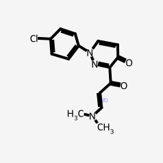 CN(C)/C=C/C(=O)c1nn(-c2ccc(Cl)cc2)ccc1=O